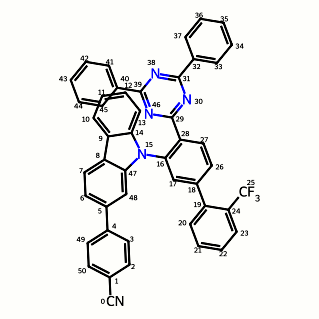 N#Cc1ccc(-c2ccc3c4ccccc4n(-c4cc(-c5ccccc5C(F)(F)F)ccc4-c4nc(-c5ccccc5)nc(-c5ccccc5)n4)c3c2)cc1